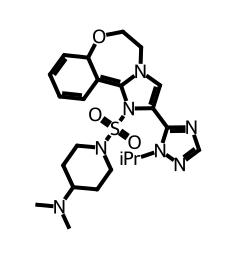 CC(C)n1ncnc1C1=CN2CCOC3C=CC=CC3=C2N1S(=O)(=O)N1CCC(N(C)C)CC1